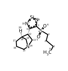 CCCCS(=O)(=O)c1nsnc1[C@@H]1CN2CCC[C@@H]1C2